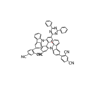 N#Cc1ccc(-c2ccc3c(c2)c2ccccc2n3-c2cc(C#N)ccc2-c2ccc(-c3nc(-c4ccccc4)nc(-c4ccccc4)n3)cc2-n2c3ccccc3c3cc(-c4ccc(C#N)cc4C#N)ccc32)c(C#N)c1